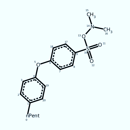 CCCCCc1ccc(Oc2ccc(S(=O)(=O)ON(C)C)cc2)cc1